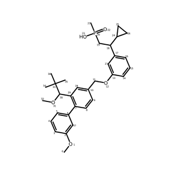 COc1cccc(-c2ccc(COc3cccc(C(CP(C)(=O)O)C4CC4)c3)cc2C(OC)C(C)(C)C)c1